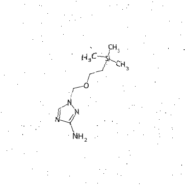 C[Si](C)(C)CCOCn1cnc(N)n1